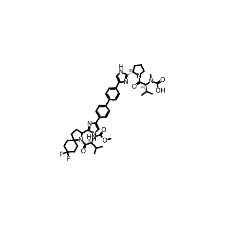 COC(=O)N[C@H](C(=O)N1C(c2nc(-c3ccc(-c4ccc(-c5c[nH]c([C@@H]6CCCN6C(=O)[C@H](C(C)C)N(C)C(=O)O)n5)cc4)cc3)c[nH]2)CCC12CCC(F)(F)CC2)C(C)C